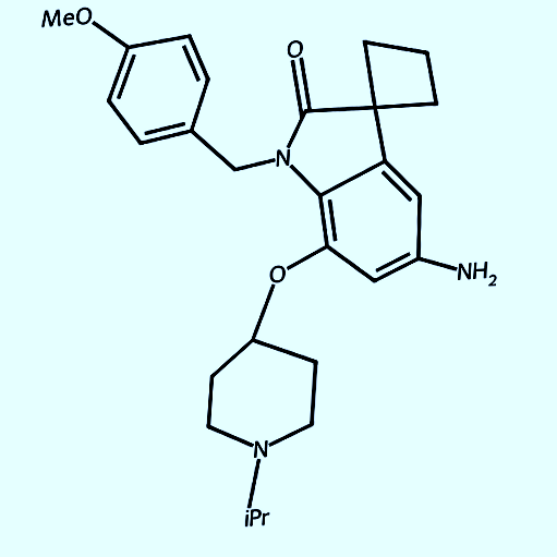 COc1ccc(CN2C(=O)C3(CCC3)c3cc(N)cc(OC4CCN(C(C)C)CC4)c32)cc1